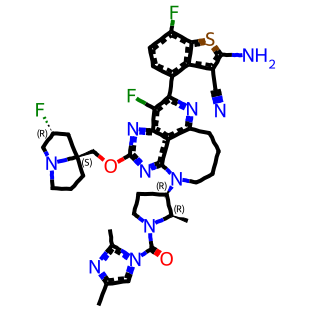 Cc1cn(C(=O)N2CC[C@@H](N3CCCCc4nc(-c5ccc(F)c6sc(N)c(C#N)c56)c(F)c5nc(OC[C@@]67CCCN6C[C@H](F)C7)nc3c45)[C@H]2C)c(C)n1